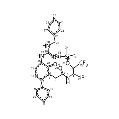 CC(C)C(NC(=O)Cn1c(-c2ccccc2)ncc(NC(=O)NCc2ccncc2)c1=O)C(O[Si](C)(C)C(C)(C)C)C(F)(F)F